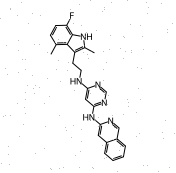 Cc1[nH]c2c(F)ccc(C)c2c1CCNc1cc(Nc2cc3ccccc3cn2)ncn1